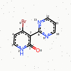 O=c1[nH]ccc(Br)c1-c1ncccn1